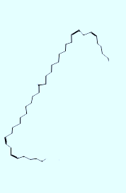 CCCCC/C=C\C/C=C\CCCCCCCCCC(=O)CCCCCCCCC/C=C\C/C=C\CCCCC